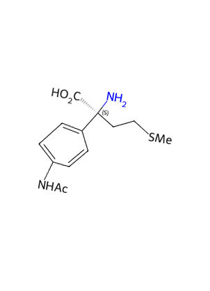 CSCC[C@@](N)(C(=O)O)c1ccc(NC(C)=O)cc1